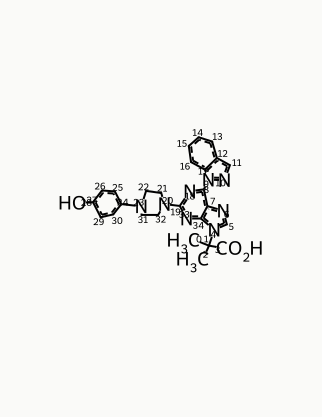 CC(C)(C(=O)O)n1cnc2c(-n3ncc4ccccc43)nc(N3CCN(c4ccc(O)cc4)CC3)nc21